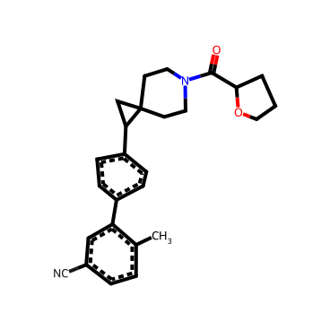 Cc1ccc(C#N)cc1-c1ccc(C2CC23CCN(C(=O)C2CCCO2)CC3)cc1